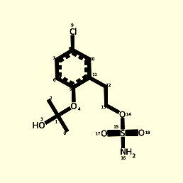 CC(C)(O)Oc1ccc(Cl)cc1CCOS(N)(=O)=O